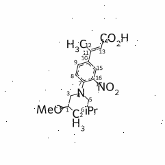 CO[C@H](C)CN(CC(C)C)c1ccc(/C(C)=C/C(=O)O)cc1[N+](=O)[O-]